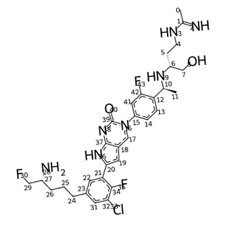 CC(=N)NCC[C@H](CO)N[C@@H](C)c1ccc(-n2cc3cc(-c4cc(CCC[C@@H](N)CF)cc(Cl)c4F)[nH]c3nc2=O)cc1F